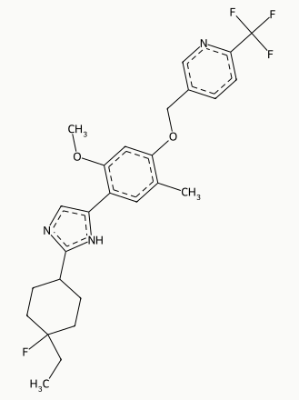 CCC1(F)CCC(c2ncc(-c3cc(C)c(OCc4ccc(C(F)(F)F)nc4)cc3OC)[nH]2)CC1